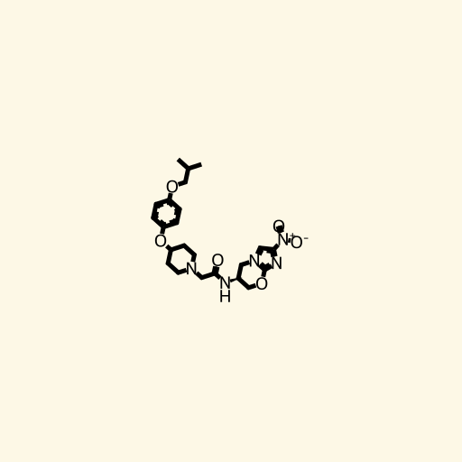 CC(C)COc1ccc(OC2CCN(CC(=O)N[C@@H]3COc4nc([N+](=O)[O-])cn4C3)CC2)cc1